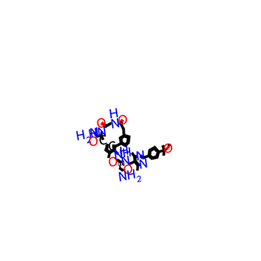 COC(C)(C)c1ccc(-c2nc(C)c(C(=O)N[C@@H](CCN)C(=O)Nc3c(C)cc4cc3-c3cccc(c3)CC(=O)NCC(=O)NC(C(N)=O)C4)c(C)n2)cc1